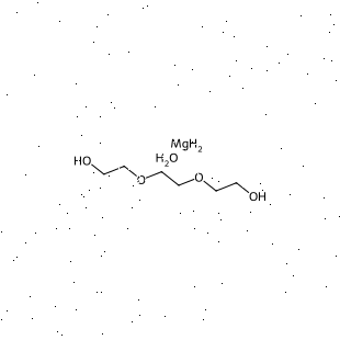 O.OCCOCCOCCO.[MgH2]